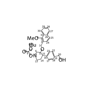 COc1c(COC2CN(OC(=O)OC(C)(C)C)CCC2c2ccc(CO)cc2)ccc2ccccc12